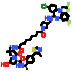 Cc1ncsc1-c1ccc([C@H](C)NC(=O)[C@@H]2C[C@@H](O)CN2C(=O)[C@@H](NC(=O)CCCCCCCC(=O)N2CCC(CNC3=Nc4cc(F)ccc4N(CC(F)F)c4ccc(Cl)cc43)C2)C(C)(C)C)cc1